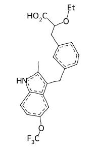 CCOC(Cc1cccc(Cc2c(C)[nH]c3ccc(OC(F)(F)F)cc23)c1)C(=O)O